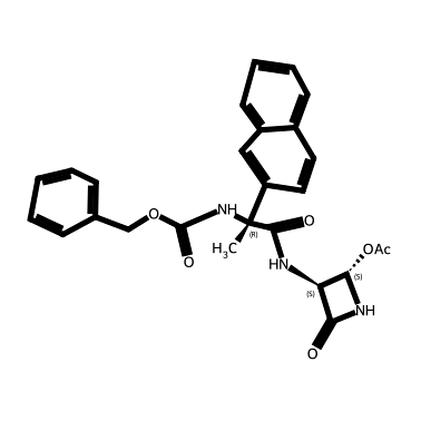 CC(=O)O[C@@H]1NC(=O)[C@H]1NC(=O)[C@](C)(NC(=O)OCc1ccccc1)c1ccc2ccccc2c1